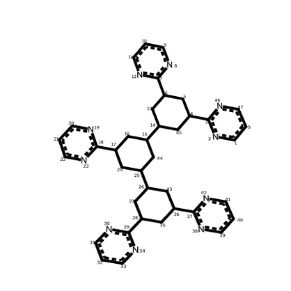 c1cnc(C2CC(c3ncccn3)CC(C3CC(c4ncccn4)CC(C4CC(c5ncccn5)CC(c5ncccn5)C4)C3)C2)nc1